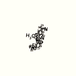 CCS(=O)(=O)c1c(-c2nc3cc(OC(F)(F)F)ccc3o2)ncc2cc(C3(C#N)CC3)ccc12